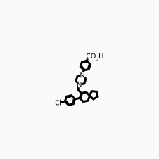 O=C(O)c1ccc(N2CCN(CC3=C(c4ccc(Cl)cc4)CCC4(CCCC4)C3)CC2)cc1